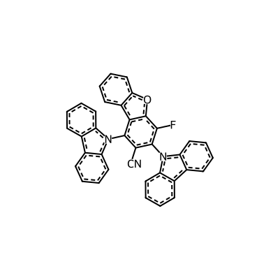 N#Cc1c(-n2c3ccccc3c3ccccc32)c(F)c2oc3ccccc3c2c1-n1c2ccccc2c2ccccc21